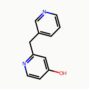 Oc1ccnc(Cc2cccnc2)c1